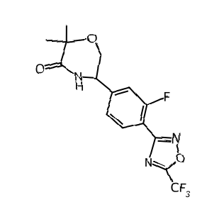 CC1(C)OCC(c2ccc(-c3noc(C(F)(F)F)n3)c(F)c2)NC1=O